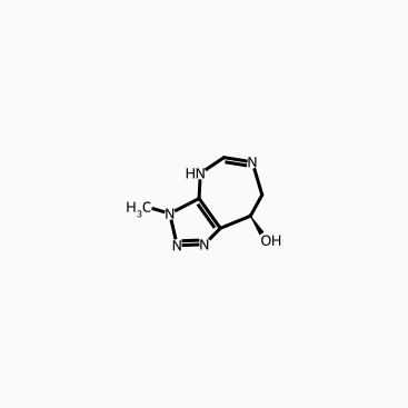 Cn1nnc2c1NC=NC[C@H]2O